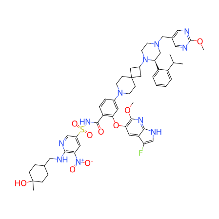 COc1ncc(CN2CCN(C3CC4(CCN(c5ccc(C(=O)NS(=O)(=O)c6cnc(NCC7CCC(C)(O)CC7)c([N+](=O)[O-])c6)c(Oc6cc7c(F)c[nH]c7nc6OC)c5)CC4)C3)[C@H](c3ccccc3C(C)C)C2)cn1